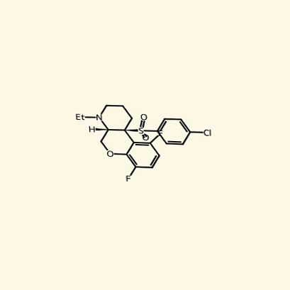 CCN1CCC[C@]2(S(=O)(=O)c3ccc(Cl)cc3)c3c(F)ccc(F)c3OC[C@H]12